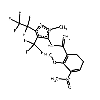 C=C(Nc1c(C(F)(F)F)c(C(F)(F)C(F)(F)F)nn1C)C1=C(OC)C([N+](C)=O)=CCC1